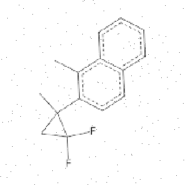 Cc1c(C2(C)CC2(F)F)ccc2ccccc12